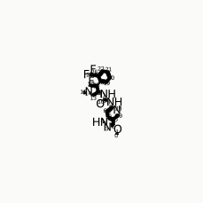 COc1n[nH]c2cc(NC(=O)N[C@@H]3CN(C)C[C@H]3c3ccccc3C(F)(F)F)ncc12